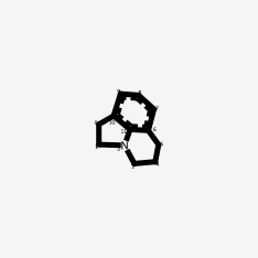 [CH]1CN2CCCc3cccc1c32